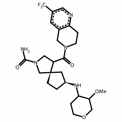 COC1COCCC1N[C@H]1CC[C@@]2(C1)CN(C(N)=O)CC2C(=O)N1CCc2ncc(C(F)(F)F)cc2C1